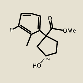 COC(=O)C1(c2cccc(F)c2C)CC[C@H](O)C1